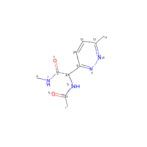 CNC(=O)C(NC(C)=O)c1ccc(C)nn1